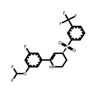 O=S(=O)(c1cccc(C(F)(F)F)c1)[C@@H]1C=C(c2cc(F)cc(OC(F)F)c2)NCC1